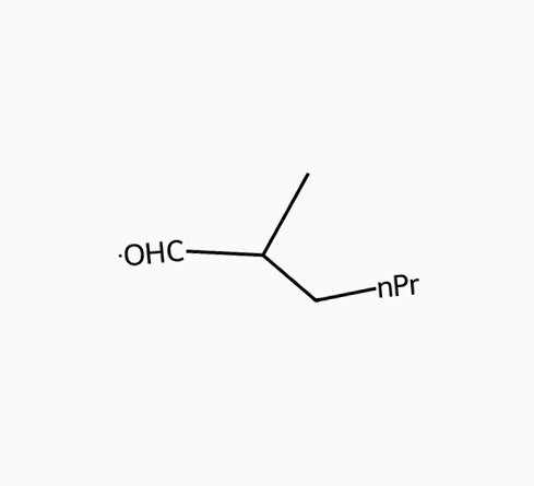 CCCCC(C)[C]=O